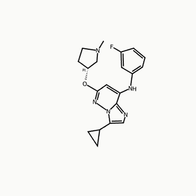 CN1CC[C@@H](Oc2cc(Nc3cccc(F)c3)c3ncc(C4CC4)n3n2)C1